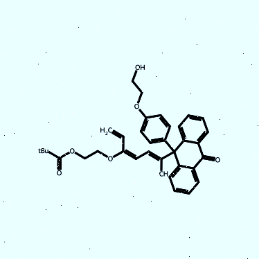 C=C/C(=C\C=C(/C)C1(c2ccc(OCCO)cc2)c2ccccc2C(=O)c2ccccc21)OCCOC(=O)C(C)(C)C